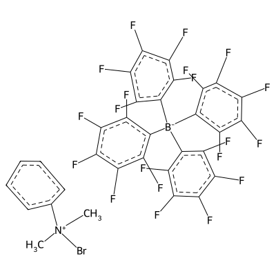 C[N+](C)(Br)c1ccccc1.Fc1c(F)c(F)c([B-](c2c(F)c(F)c(F)c(F)c2F)(c2c(F)c(F)c(F)c(F)c2F)c2c(F)c(F)c(F)c(F)c2F)c(F)c1F